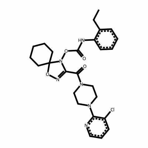 CCc1ccccc1NC(=O)ON1C(C(=O)N2CCN(c3ncccc3Cl)CC2)=NOC12CCCCC2